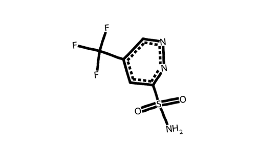 NS(=O)(=O)c1cc(C(F)(F)F)cnn1